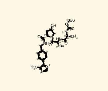 Cc1ncsc1-c1ccc(CNC(=O)[C@@H]2C[C@@H](O)CN2C(=O)C(NC(=O)[C@H](C)NC(=O)OC(C)(C)C)C(C)(C)C)cc1